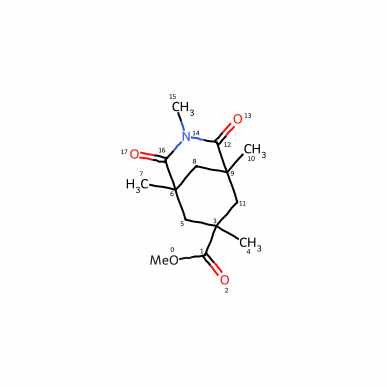 COC(=O)C1(C)CC2(C)CC(C)(C1)C(=O)N(C)C2=O